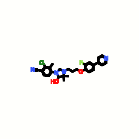 Cc1c(N2CN(CCCOc3ccc(-c4ccncc4)cc3F)C(C)(C)C2O)ccc(C#N)c1Cl